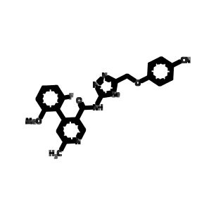 COc1cccc(F)c1-c1cc(C)ncc1C(=O)Nc1nnc(COc2ccc(C#N)cc2)[se]1